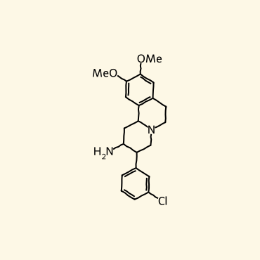 COc1cc2c(cc1OC)C1CC(N)C(c3cccc(Cl)c3)CN1CC2